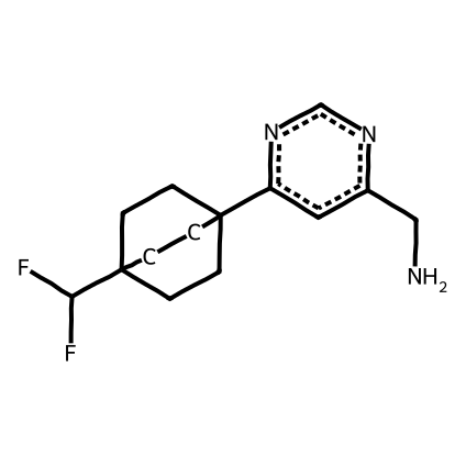 NCc1cc(C23CCC(C(F)F)(CC2)CC3)ncn1